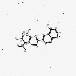 COc1nc(-c2ccc3cccc(F)c3c2)ccc1C(C(C)=O)C(C)C